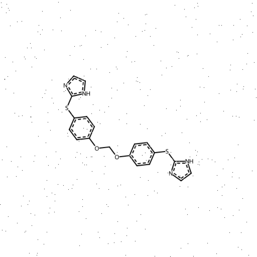 c1c[nH]c(Sc2ccc(OCOc3ccc(Sc4ncc[nH]4)cc3)cc2)n1